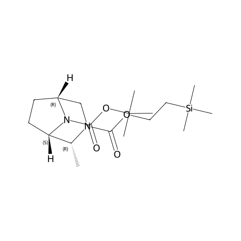 C[C@@H]1[C@@H]2CC[C@H](CN1C(=O)OCC[Si](C)(C)C)N2C(=O)OC(C)(C)C